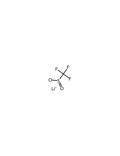 O=S([O-])C(F)(F)F.[Li+]